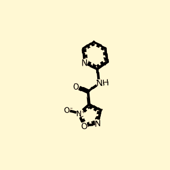 O=C(Nc1ccccn1)c1cno[n+]1[O-]